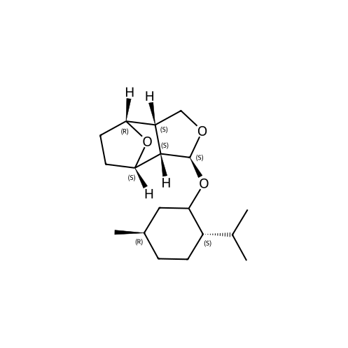 CC(C)[C@@H]1CC[C@@H](C)CC1O[C@@H]1OC[C@@H]2[C@H]1[C@@H]1CC[C@H]2O1